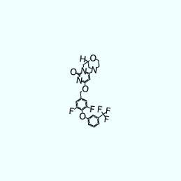 O=c1nc(OCc2cc(F)c(Oc3cccc(C(F)(F)F)c3)c(F)c2)cc2n1C[C@H]1CN2CCO1